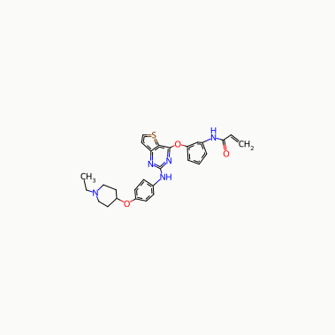 C=CC(=O)Nc1cccc(Oc2nc(Nc3ccc(OC4CCN(CC)CC4)cc3)nc3ccsc23)c1